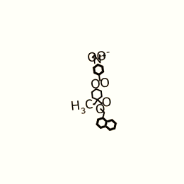 CCC1(C(=O)OCc2cccc3ccccc23)CCC(OC(=O)c2ccc([N+](=O)[O-])cc2)CC1